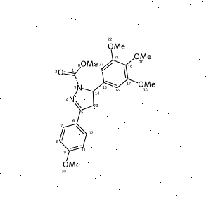 COC(=O)N1N=C(c2ccc(OC)cc2)CC1c1cc(OC)c(OC)c(OC)c1